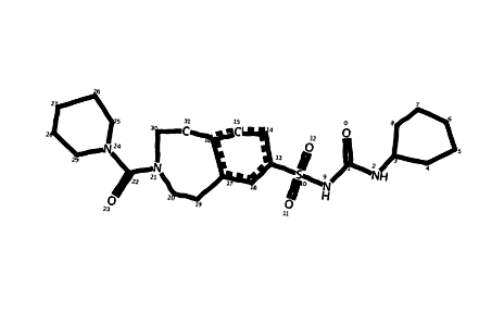 O=C(NC1CCCCC1)NS(=O)(=O)c1ccc2c(c1)CCN(C(=O)N1CCCCC1)CC2